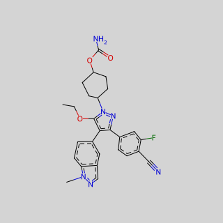 CCOc1c(-c2ccc3c(cnn3C)c2)c(-c2ccc(C#N)c(F)c2)nn1C1CCC(OC(N)=O)CC1